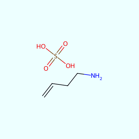 C=CCCN.O=S(=O)(O)O